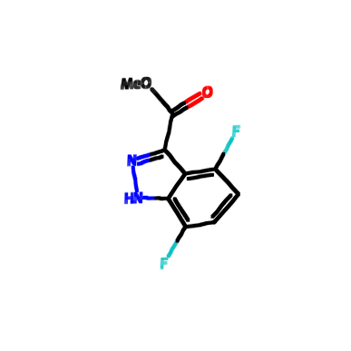 COC(=O)c1n[nH]c2c(F)ccc(F)c12